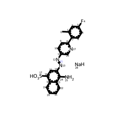 Cc1cc(F)ccc1-c1ccc(/N=N/c2cc(S(=O)(=O)O)c3ccccc3c2N)cn1.[NaH]